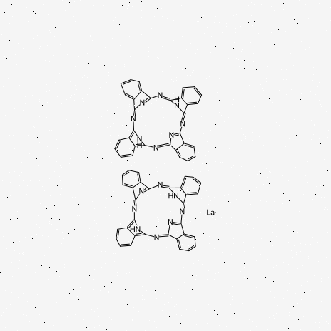 [La].c1ccc2c(c1)-c1nc-2nc2[nH]c(nc3nc(nc4[nH]c(n1)c1ccccc41)-c1ccccc1-3)c1ccccc21.c1ccc2c(c1)-c1nc-2nc2[nH]c(nc3nc(nc4[nH]c(n1)c1ccccc41)-c1ccccc1-3)c1ccccc21